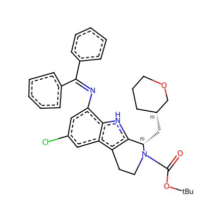 CC(C)(C)OC(=O)N1CCc2c([nH]c3c(N=C(c4ccccc4)c4ccccc4)cc(Cl)cc23)[C@@H]1C[C@@H]1CCCOC1